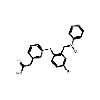 O=C(O)Cc1cccc(Oc2ccc(Br)cc2C[S+]([O-])c2ccccc2)c1